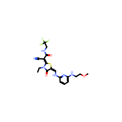 CCn1c(=O)/c(=C\Nc2cccc(NCCOC)n2)s/c1=C(/C#N)C(=O)NCC(F)(F)F